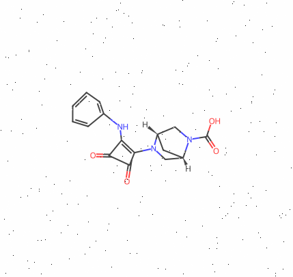 O=C(O)N1C[C@@H]2C[C@H]1CN2c1c(Nc2ccccc2)c(=O)c1=O